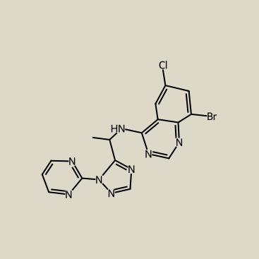 CC(Nc1ncnc2c(Br)cc(Cl)cc12)c1ncnn1-c1ncccn1